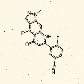 Cn1ncc2c(F)c3c(=O)cc(-c4cc(C#N)ccc4F)[nH]c3cc21